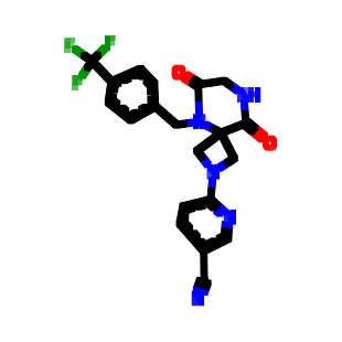 N#Cc1ccc(N2CC3(C2)C(=O)NCC(=O)N3Cc2ccc(C(F)(F)F)cc2)nc1